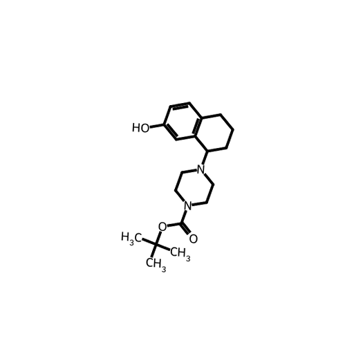 CC(C)(C)OC(=O)N1CCN(C2CCCc3ccc(O)cc32)CC1